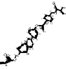 C=CC(=O)OCOc1ccc2cc(-c3ccc(OC(=O)c4ccc(COC(=O)C(=C)C)cc4)cc3)ccc2c1